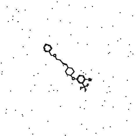 FC(F)(F)c1cc(OC2CCC(/C=C/CCOCc3ccccc3)CC2)ccc1Br